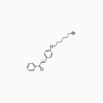 O=C(/C=C/c1ccc(OCCCCCCBr)cc1)c1ccccc1